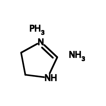 C1=NCCN1.N.P